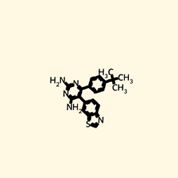 CC(C)(C)c1ccc(-c2nc(N)nc(N)c2-c2ccc3ncsc3c2)cc1